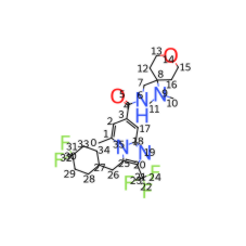 Cc1cc(C(=O)NCC2(N(C)C)CCOCC2)cc2nc(C(F)(F)F)c(CC3CCC(F)(F)CC3)n12